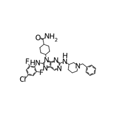 NC(=O)C1CCC(n2c(Nc3c(F)cc(Cl)cc3F)nc3cnc(NC4CCCN(Cc5ccccc5)C4)nc32)CC1